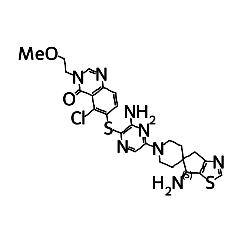 COCCn1cnc2ccc(Sc3ncc(N4CCC5(CC4)Cc4ncsc4[C@H]5N)nc3N)c(Cl)c2c1=O